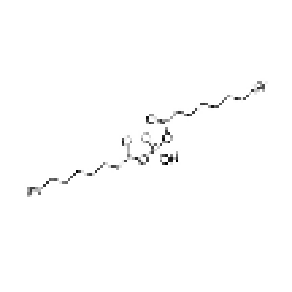 CC(C)CCCCCCC(=O)OP(=O)(O)OC(=O)CCCCCCC(C)C